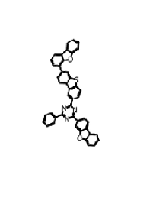 c1ccc(-c2nc(-c3ccc4c(c3)oc3ccccc34)nc(-c3ccc4sc5cc(-c6cccc7c6oc6ccccc67)ccc5c4c3)n2)cc1